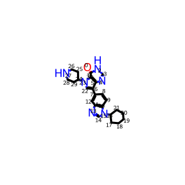 O=c1[nH]cnc2c(-c3ccc4c(c3)ncn4C3CCCCC3)cn(C3CCNCC3)c12